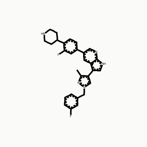 Cc1nn(Cc2cccc(F)c2)cc1-c1c[nH]c2ncc(-c3ccc(C4CCNCC4)c(F)c3)cc12